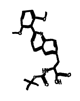 COc1cccc(OC)c1-c1ccc2cc(CC(NC(=O)OC(C)(C)C)C(=O)O)ccc2n1